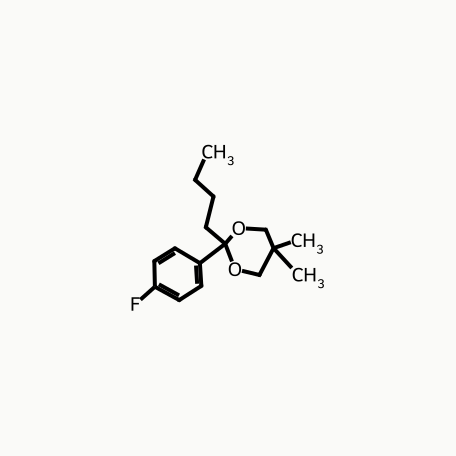 CCCCC1(c2ccc(F)cc2)OCC(C)(C)CO1